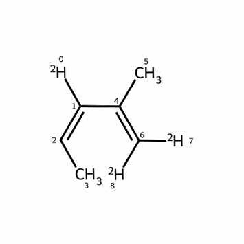 [2H]C(=CC)C(C)=C([2H])[2H]